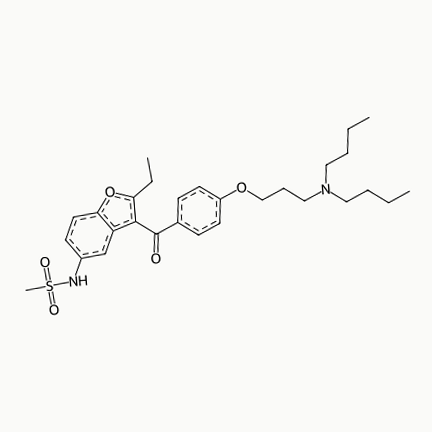 CCCCN(CCCC)CCCOc1ccc(C(=O)c2c(CC)oc3ccc(NS(C)(=O)=O)cc23)cc1